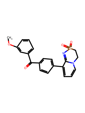 COc1cccc(C(=O)c2ccc(C3=CC=CN4CCS(=O)(=O)N=C34)cc2)c1